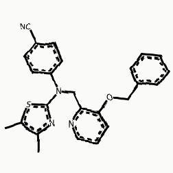 Cc1nc(N(Cc2ncccc2OCc2ccccc2)c2ccc(C#N)cc2)sc1C